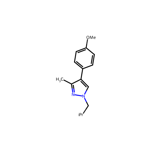 COc1ccc(-c2cn(CC(C)C)nc2C)cc1